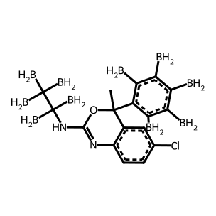 Bc1c(B)c(B)c(C2(C)OC(NC(B)(B)C(B)(B)B)=Nc3ccc(Cl)cc32)c(B)c1B